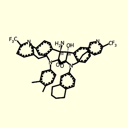 Cc1ccc(N(CCc2ccc(C(F)(F)F)nc2)C(=O)[C@](N)(c2ccc(F)cc2)[C@](O)(C(=O)N(CCc2ccc(C(F)(F)F)nc2)c2ccc3c(c2)CCCC3)c2ccccc2)cc1C